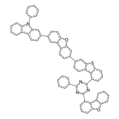 c1ccc(-c2nc(-c3cccc4oc5ccccc5c34)nc(-c3cccc4sc5cc(-c6ccc7c(c6)oc6ccc(-c8ccc9c%10ccccc%10n(-c%10ccccc%10)c9c8)cc67)ccc5c34)n2)cc1